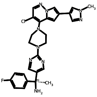 Cn1cc(-c2cc3c(N4CCN(c5ncc([C@@](C)(N)c6ccc(F)cc6)cn5)CC4)c(Cl)cnn3c2)cn1